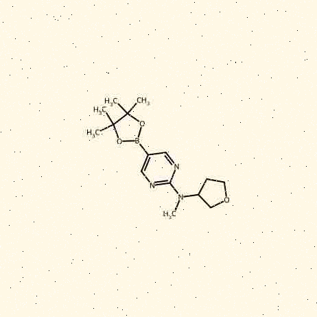 CN(c1ncc(B2OC(C)(C)C(C)(C)O2)cn1)C1CCOC1